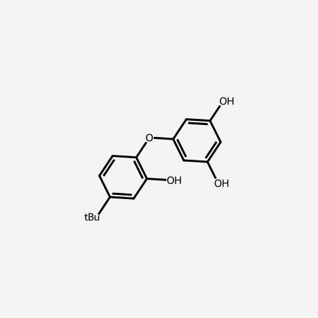 CC(C)(C)c1ccc(Oc2cc(O)cc(O)c2)c(O)c1